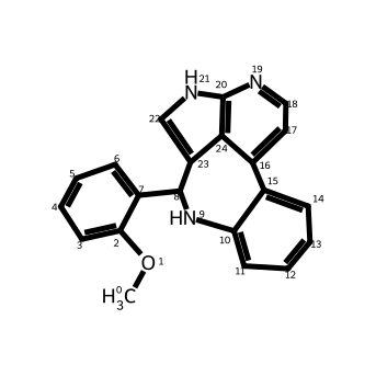 COc1ccccc1C1Nc2ccccc2-c2ccnc3[nH]cc1c23